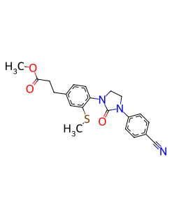 COC(=O)CCc1ccc(N2CCN(c3ccc(C#N)cc3)C2=O)c(SC)c1